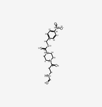 O=CNCCC(=O)N1CCN(C(=S)SCc2ccc([N+](=O)[O-])cc2)CC1